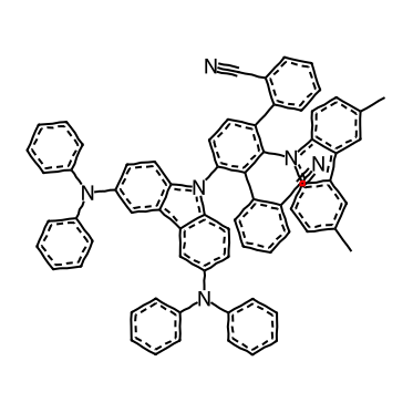 Cc1ccc2c(c1)c1cc(C)ccc1n2-c1c(-c2ccccc2C#N)ccc(-n2c3ccc(N(c4ccccc4)c4ccccc4)cc3c3cc(N(c4ccccc4)c4ccccc4)ccc32)c1-c1ccccc1C#N